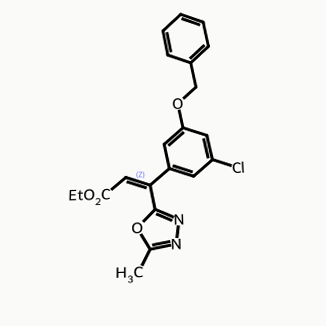 CCOC(=O)/C=C(/c1cc(Cl)cc(OCc2ccccc2)c1)c1nnc(C)o1